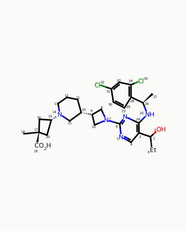 CCC(O)c1cnc(N2CC([C@H]3CCCN([C@H]4C[C@](C)(C(=O)O)C4)C3)C2)nc1N[C@H](C)c1ccc(Cl)cc1Cl